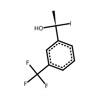 C[C@@](O)(I)c1cccc(C(F)(F)F)c1